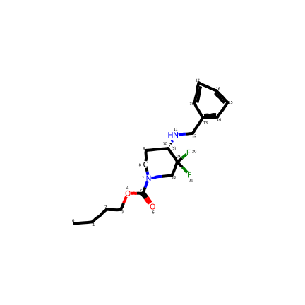 CCCCOC(=O)N1CC[C@H](NCc2ccccc2)C(F)(F)C1